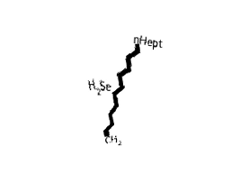 C=CCCCCCCCCCCCCCCCC.[SeH2]